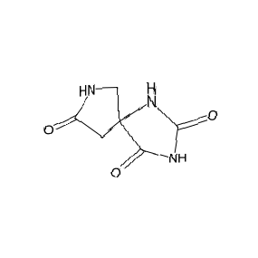 O=C1CC2(CN1)NC(=O)NC2=O